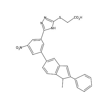 CC1C(c2ccccc2)=Cc2cc(-c3cc(-c4nnc(SCC(=O)O)[nH]4)cc([N+](=O)[O-])c3)ccc21